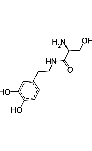 N[C@@H](CO)C(=O)NCCc1ccc(O)c(O)c1